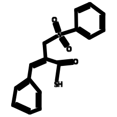 O=C(S)C(=Cc1ccccc1)CS(=O)(=O)c1ccccc1